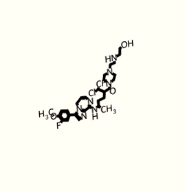 COc1ccc(-c2cnc3n2CC=CN=C3NC(C)CCC(C(=O)N2CCN(CCNCCO)CC2)C(C)Cl)cc1F